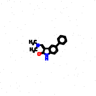 CN(C)C=C1C(=O)Nc2ccc(-c3ccccc3)cc21